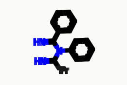 CC(C)C(=N)N(C(=N)c1ccccc1)c1ccccc1